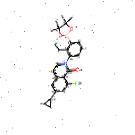 CCc1c(B2OC(C)(C)C(C)(C)O2)cccc1-n1ccc2cc(C3CC3)cc(F)c2c1=O